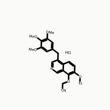 CCOc1ccc2c(Cc3cc(OC)c(OC)c(OC)c3)cncc2c1OCC#N.Cl